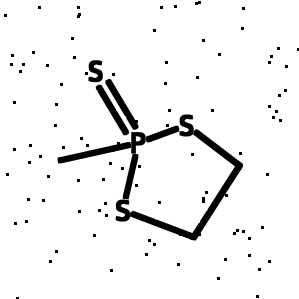 CP1(=S)SCCS1